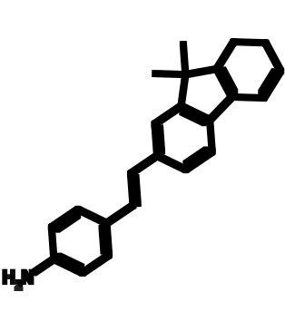 CC1(C)C2=C(C=CCC2)c2ccc(/C=C/c3ccc(N)cc3)cc21